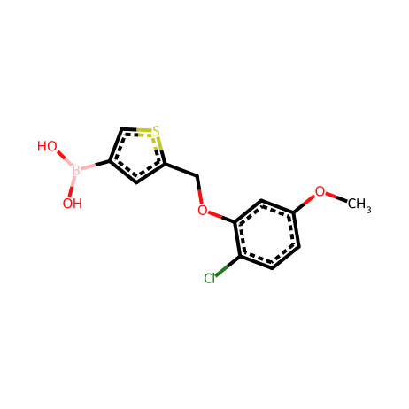 COc1ccc(Cl)c(OCc2cc(B(O)O)cs2)c1